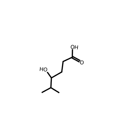 CC(C)C(O)CCC(=O)O